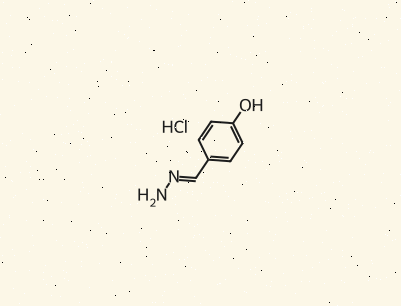 Cl.NN=Cc1ccc(O)cc1